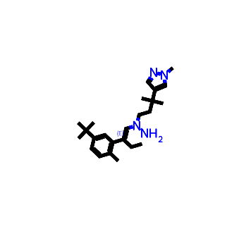 CC/C(=C\N(N)CCC(C)(C)c1cnn(C)c1)c1cc(C(C)(C)C)ccc1C